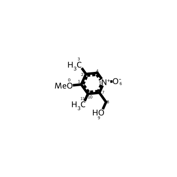 COc1c(C)c[n+]([O-])c(CO)c1C